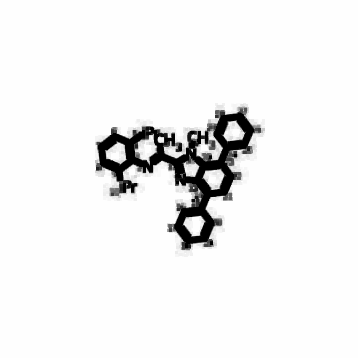 CC(=Nc1c(C(C)C)cccc1C(C)C)c1nc2c(-c3ccccc3)ccc(-c3ccccc3)c2n1C